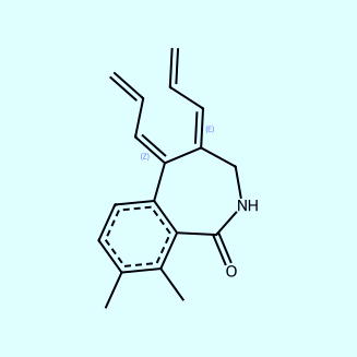 C=C/C=C1\C(=C/C=C)CNC(=O)c2c1ccc(C)c2C